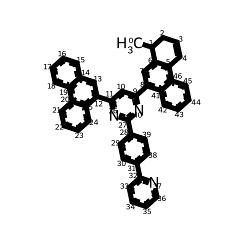 CC1CC=Cc2c1cc(-c1cc(-c3cc4ccccc4c4ccccc34)nc(-c3ccc(-c4ccccn4)cc3)n1)c1ccccc21